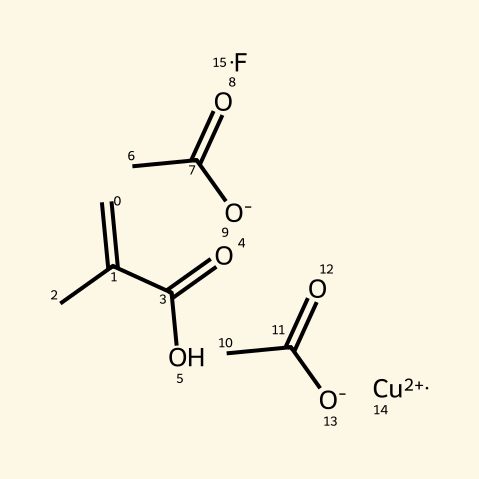 C=C(C)C(=O)O.CC(=O)[O-].CC(=O)[O-].[Cu+2].[F]